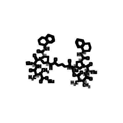 C[C@@H](C(=O)N[C@H](C(=O)N1C[C@@H](NC(=O)CCCC(=O)N[C@H]2C[C@@H](C(=O)N[C@@H]3CCCc4ccccc43)N(C(=O)[C@@H](NC(=O)[C@H](C)N(C)C(=O)OC(C)(C)C)C(C)(C)C)C2)C[C@H]1C(=O)N[C@@H]1CCCc2ccccc21)C(C)(C)C)N(C)C(=O)OC(C)(C)C